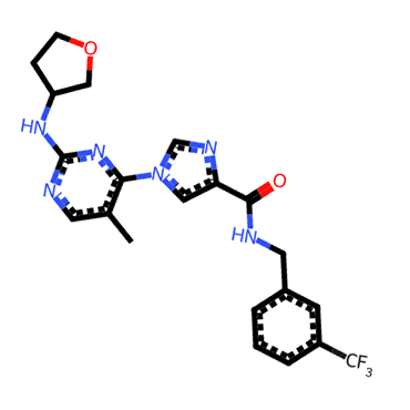 Cc1cnc(NC2CCOC2)nc1-n1cnc(C(=O)NCc2cccc(C(F)(F)F)c2)c1